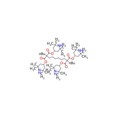 CCCCC(CCCCCCC(CCCC)(C(=O)OC1CC(C)(C)NC(C)(C)C1)C(=O)OC1CC(C)(C)NC(C)(C)C1)(C(=O)OC1CC(C)(C)NC(C)(C)C1)C(=O)OC1CC(C)(C)NC(C)(C)C1